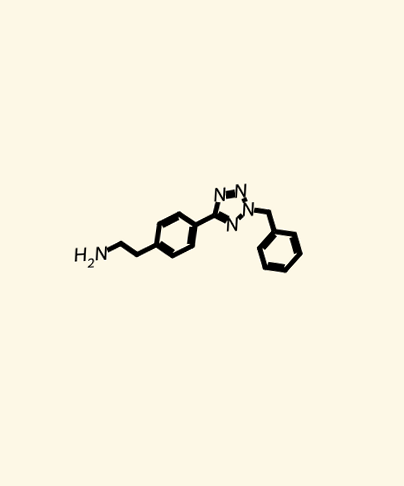 NCCc1ccc(-c2nnn(Cc3ccccc3)n2)cc1